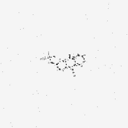 CCCC(C)(C)Nc1ccc2c(=O)c3ccccc3[nH]c2c1